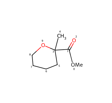 COC(=O)C1(C)CCCCO1